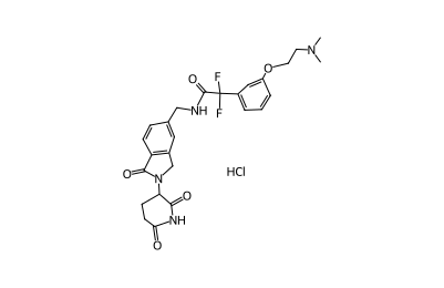 CN(C)CCOc1cccc(C(F)(F)C(=O)NCc2ccc3c(c2)CN(C2CCC(=O)NC2=O)C3=O)c1.Cl